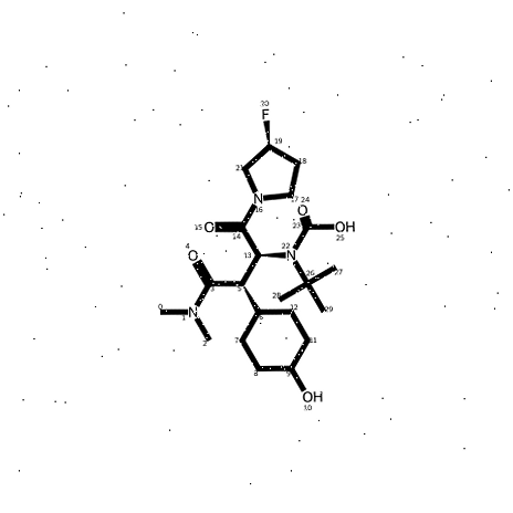 CN(C)C(=O)[C@H](C1CCC(O)CC1)[C@@H](C(=O)N1CC[C@H](F)C1)N(C(=O)O)C(C)(C)C